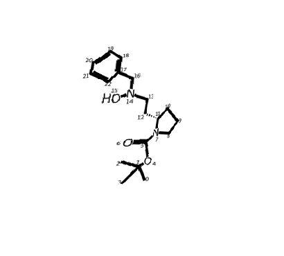 CC(C)(C)OC(=O)N1CCC[C@H]1CCN(O)Cc1ccccc1